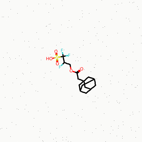 O=C(CC12CC3CC(CC(C3)C1)C2)OCC(F)C(F)(F)S(=O)(=O)O